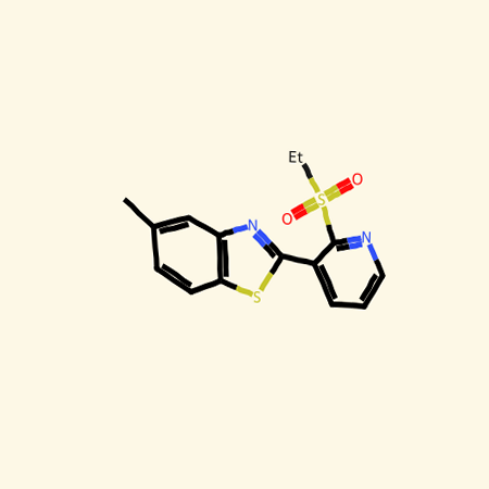 CCS(=O)(=O)c1ncccc1-c1nc2cc(C)ccc2s1